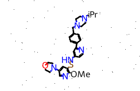 COc1ncc(N2CCOCC2)cc1SNc1ccnc(-c2ccc(CN3CCN(C(C)C)CC3)cc2)c1